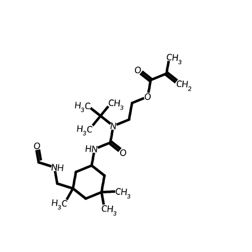 C=C(C)C(=O)OCCN(C(=O)NC1CC(C)(C)CC(C)(CNC=O)C1)C(C)(C)C